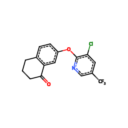 O=C1CCCc2ccc(Oc3ncc(C(F)(F)F)cc3Cl)cc21